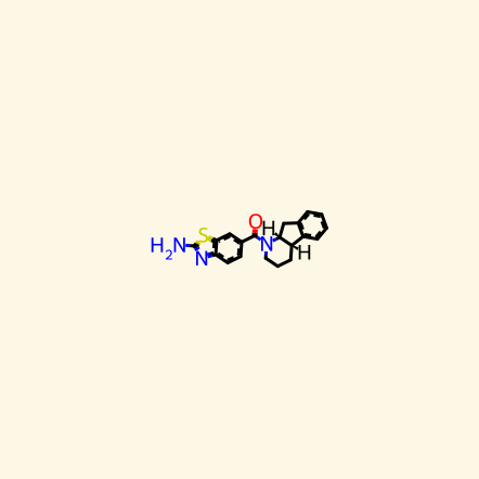 Nc1nc2ccc(C(=O)N3CCC[C@H]4c5ccccc5C[C@H]43)cc2s1